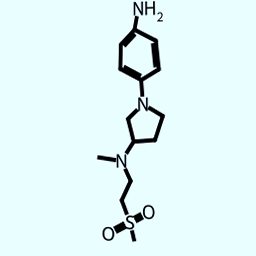 CN(CCS(C)(=O)=O)C1CCN(c2ccc(N)cc2)C1